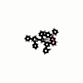 CC1CC=CC=C1C1C=C(C2C=CC=CC2)C=C(C2=CC(C3C4=CC=C(C5=CC=CCC5)N=C(c5ccccc5)N43)C(c3cccc4sc5c(c34)=CC3C4=C(C=CCC4)N(C4=CCCCC4)C3C=5)N2)C1